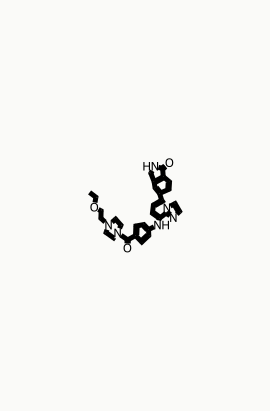 CCOCCN1CCN(C(=O)c2ccc(Nc3ccc(-c4ccc5c(c4)CNC5=O)n4ccnc34)cc2)CC1